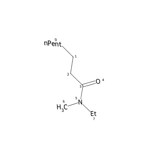 [CH2]CCCCCCC(=O)N(C)CC